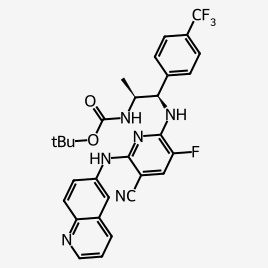 C[C@H](NC(=O)OC(C)(C)C)[C@H](Nc1nc(Nc2ccc3ncccc3c2)c(C#N)cc1F)c1ccc(C(F)(F)F)cc1